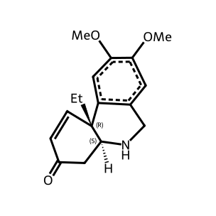 CC[C@]12C=CC(=O)C[C@@H]1NCc1cc(OC)c(OC)cc12